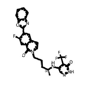 C[C@@H](CCCn1ccc2cc(-c3nc4ccccc4o3)c(F)cc2c1=O)Nc1cn[nH]c(=O)c1C(F)(F)F